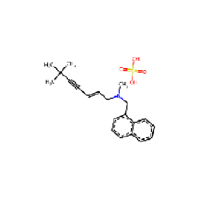 CN(C/C=C/C#CC(C)(C)C)Cc1cccc2ccccc12.O=S(=O)(O)O